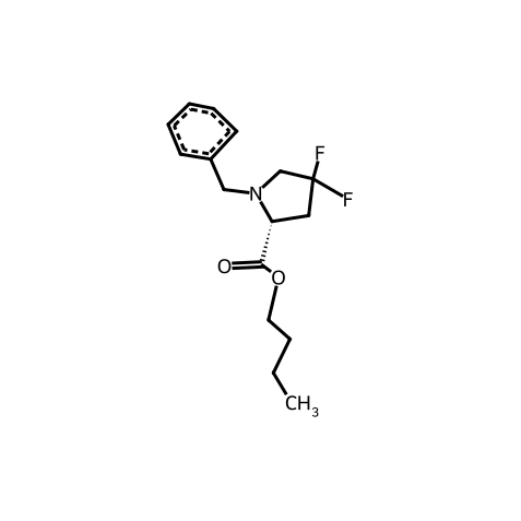 CCCCOC(=O)[C@H]1CC(F)(F)CN1Cc1ccccc1